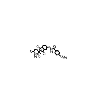 CSc1ccc(C(=O)NCc2ccc3c(c2)C(=O)N(C2(C)CCC(=O)NC2=O)C3=O)cc1